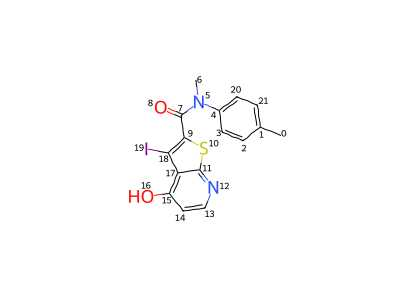 Cc1ccc(N(C)C(=O)c2sc3nccc(O)c3c2I)cc1